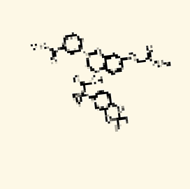 COC(=O)COc1ccc2c(c1)O[C@@H](c1cccc(C(=O)OC)c1)C[C@H]2NC(=O)C1(c2ccc3c(c2)OC(F)(F)O3)CC1